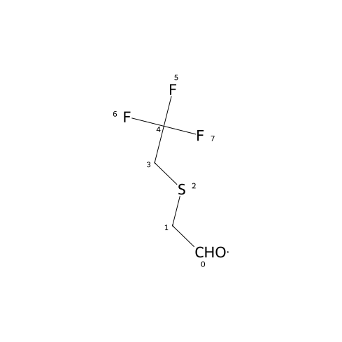 O=[C]CSCC(F)(F)F